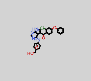 O=C(c1ccc(Oc2ccccc2)cc1Cl)c1c[nH]c2ncnc(NC34CCC(CO)(CC3)OC4)c12